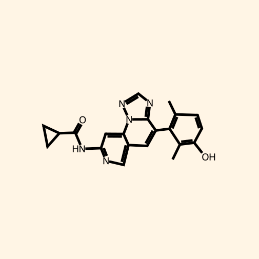 Cc1ccc(O)c(C)c1-c1cc2cnc(NC(=O)C3CC3)cc2n2ncnc12